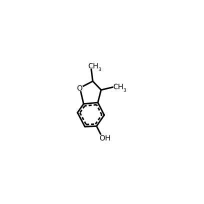 CC1Oc2ccc(O)cc2C1C